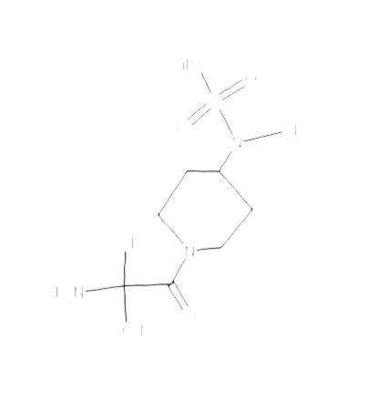 CC(C)S(=O)(=O)N(C)C1CCN(C(=O)C(C)(C)N)CC1